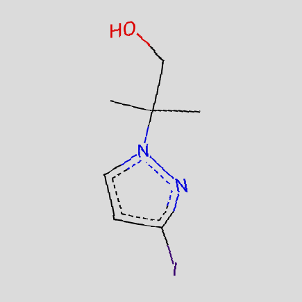 CC(C)(CO)n1ccc(I)n1